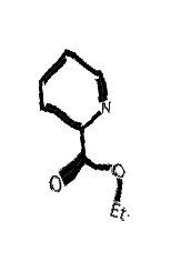 C[CH]OC(=O)c1ccccn1